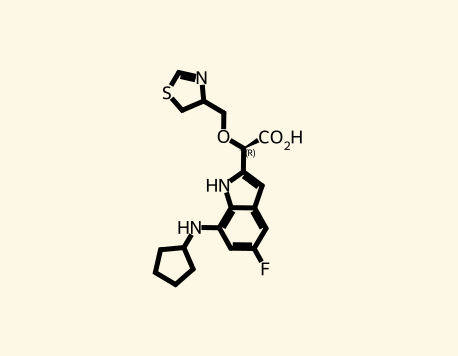 O=C(O)[C@H](OCC1CSC=N1)c1cc2cc(F)cc(NC3CCCC3)c2[nH]1